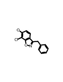 [O]c1ccc2c(Cc3ccccc3)noc2c1Cl